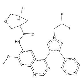 COc1cc2ncnc(-c3cn(CC(F)F)nc3-c3ccccc3)c2cc1NC(=O)C12COC[C@H]1C2